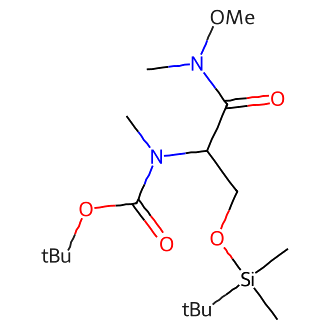 CON(C)C(=O)C(CO[Si](C)(C)C(C)(C)C)N(C)C(=O)OC(C)(C)C